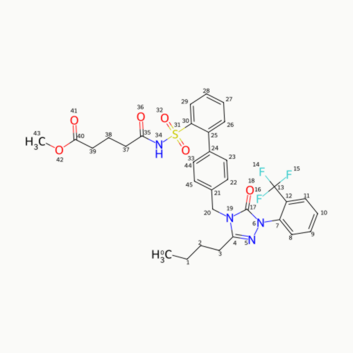 CCCCc1nn(-c2ccccc2C(F)(F)F)c(=O)n1Cc1ccc(-c2ccccc2S(=O)(=O)NC(=O)CCCC(=O)OC)cc1